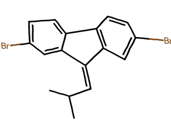 CC(C)C=C1c2cc(Br)ccc2-c2ccc(Br)cc21